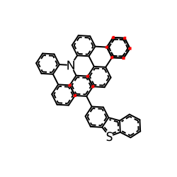 c1ccc(-c2ccccc2-c2c(-c3ccccc3)cccc2N(c2ccc(-c3ccc4sc5ccccc5c4c3)cc2)c2ccccc2-c2ccccc2)cc1